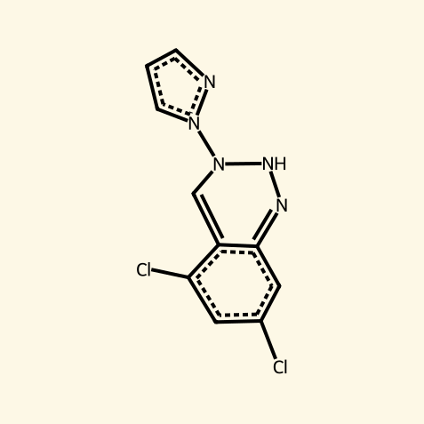 Clc1cc(Cl)c2c(c1)=NNN(n1cccn1)C=2